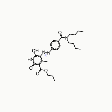 CCCCN(CCCC)C(=O)c1ccc(/N=N/c2c(O)[nH]c(=O)c(C(=O)OCCC)c2C)cc1